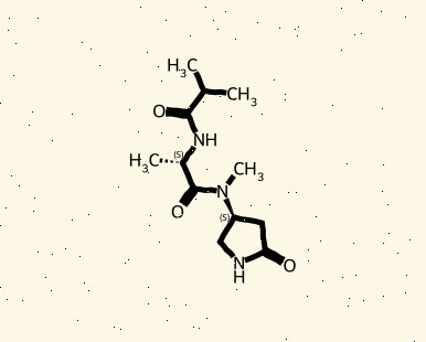 CC(C)C(=O)N[C@@H](C)C(=O)N(C)[C@@H]1CNC(=O)C1